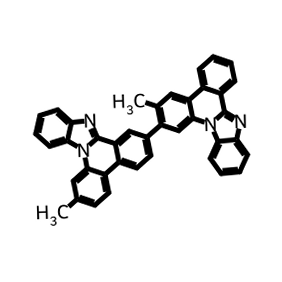 Cc1ccc2c3ccc(-c4cc5c(cc4C)c4ccccc4c4nc6ccccc6n54)cc3c3nc4ccccc4n3c2c1